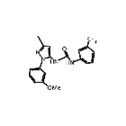 COc1cccc(-n2nc(C)cc2NC(=O)Nc2cccc(C(F)(F)F)c2)c1